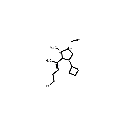 CO[C@H]1C(/C(C)=C/CCC(C)C)[C@H](C2CCO2)C[C@H]1OC(C)C